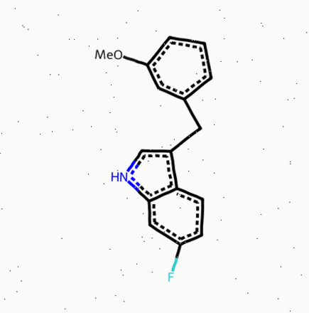 COc1cccc(Cc2c[nH]c3cc(F)ccc23)c1